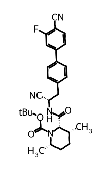 C[C@@H]1CC[C@H](C)N(C(=O)OC(C)(C)C)[C@@H]1C(=O)N[C@H](C#N)Cc1ccc(-c2ccc(C#N)c(F)c2)cc1